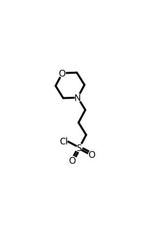 O=S(=O)(Cl)CCCN1CCOCC1